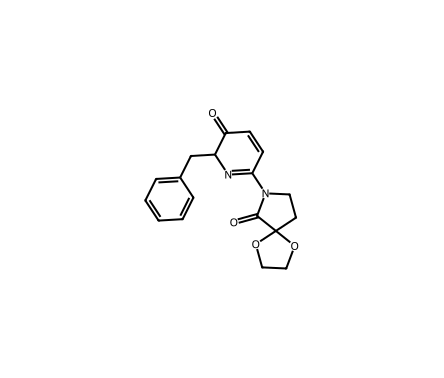 O=C1C=CC(N2CCC3(OCCO3)C2=O)=NC1Cc1ccccc1